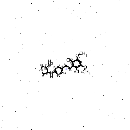 COc1cc(OC)c(Cl)c(/C=C/c2cnc(NC3COC[C@@H]3N)nc2)c1Cl